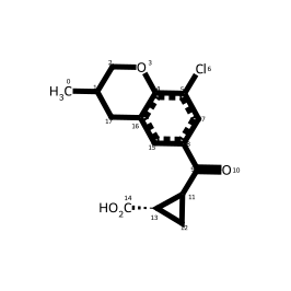 CC1COc2c(Cl)cc(C(=O)C3C[C@@H]3C(=O)O)cc2C1